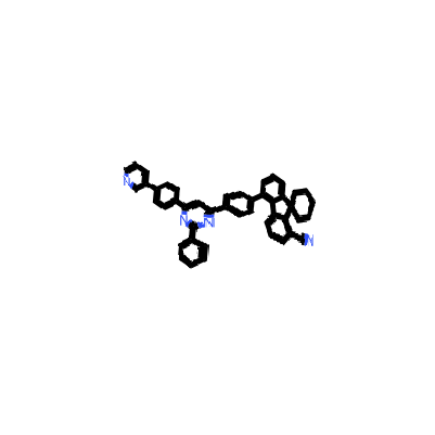 N#Cc1cccc2c1C1(CCCCC1)c1cccc(-c3ccc(-c4cc(-c5ccc(-c6cccnc6)cc5)nc(-c5ccccc5)n4)cc3)c1-2